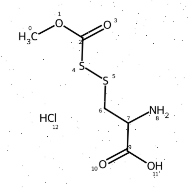 COC(=O)SSCC(N)C(=O)O.Cl